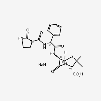 CC1(C)S[C@@H]2[C@H](NC(=O)[C@H](NC(=O)N3CCNC3=O)c3ccccc3)C(=O)N2[C@H]1C(=O)O.[NaH]